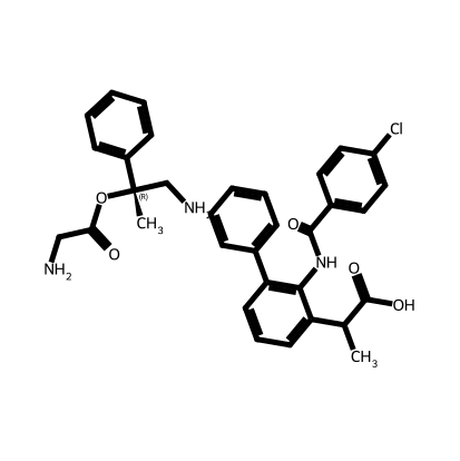 CC(C(=O)O)c1cccc(-c2ccccc2)c1NC(=O)c1ccc(Cl)cc1.C[C@@](CN)(OC(=O)CN)c1ccccc1